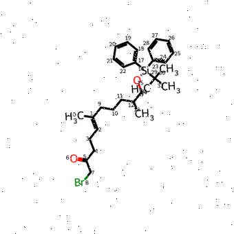 CC(=CCCC(=O)CBr)CCCC(C)CO[Si](c1ccccc1)(c1ccccc1)C(C)(C)C